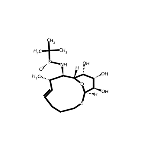 C[C@H]1/C=C/CCCS[C@H]2O[C@@H]([C@H](O)[C@H](O)[C@H]2O)[C@@H]1N[S@+]([O-])C(C)(C)C